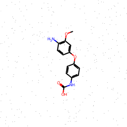 COc1cc(Oc2ccc(NC(=O)O)cc2)ccc1N